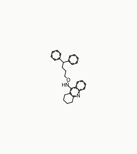 c1ccc(C(CCCONc2c3c(nc4ccccc24)CCCC3)c2ccccc2)cc1